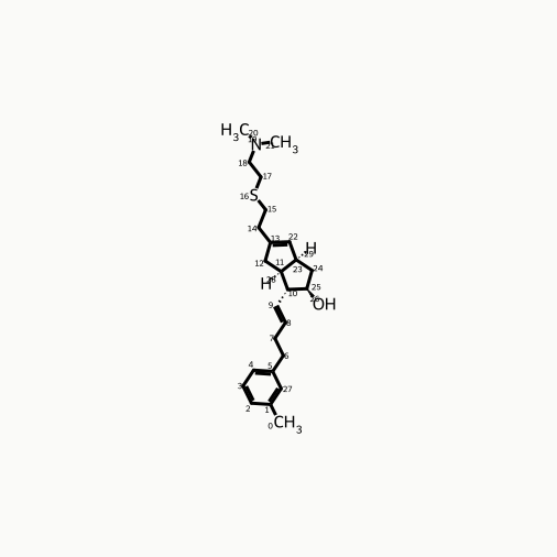 Cc1cccc(CC/C=C/[C@@H]2[C@H]3CC(CCSCCN(C)C)=C[C@H]3C[C@H]2O)c1